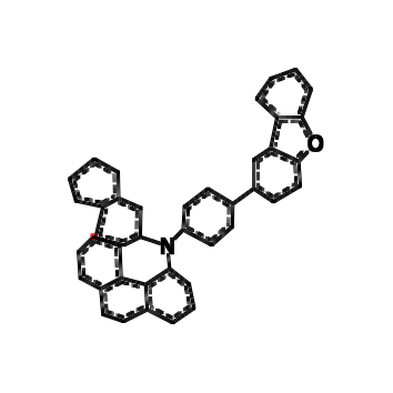 c1ccc2cc(N(c3ccc(-c4ccc5oc6ccccc6c5c4)cc3)c3cccc4ccc5ccccc5c34)ccc2c1